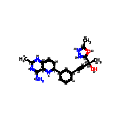 Cc1nc(N)c2nc(-c3cccc(C#C[C@@](C)(O)c4nnc(C)o4)c3)ccc2n1